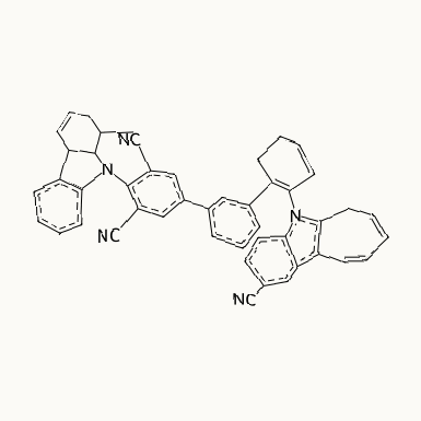 CC1CC=CC2c3ccccc3N(c3c(C#N)cc(-c4cccc(C5=C(n6c7c(c8cc(C#N)ccc86)C=CC=CC7)C=CCC5)c4)cc3C#N)C12